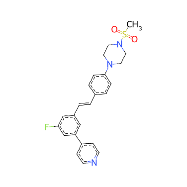 CS(=O)(=O)N1CCN(c2ccc(C=Cc3cc(F)cc(-c4ccncc4)c3)cc2)CC1